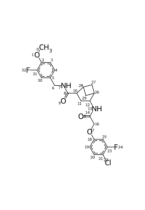 COc1ccc(CNC(=O)C2CC(NC(=O)COc3ccc(Cl)c(F)c3)C3CC2C3)cc1F